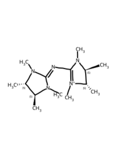 C[C@H]1[C@H](C)N(C)C(=NC2=[N+](C)[C@@H](C)[C@H](C)N2C)N1C